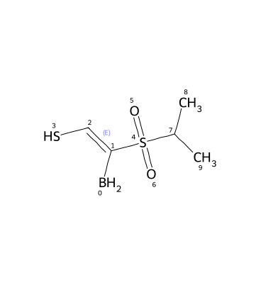 B/C(=C\S)S(=O)(=O)C(C)C